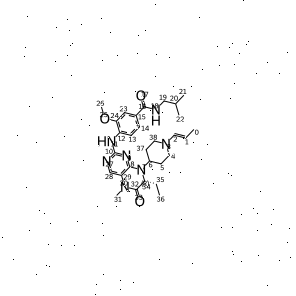 CC=CN1CCC(N2c3nc(Nc4ccc(C(=O)NCC(C)C)cc4OC)ncc3N(C)C(=O)[C@H]2CC)CC1